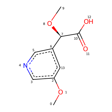 COc1cncc([C@@H](OC)C(=O)O)c1